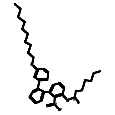 CCCCCCCCCCOc1cccc(-c2ccccc2-c2cccc(O[C@H](C)CCCCCC)c2[N+](=O)[O-])c1